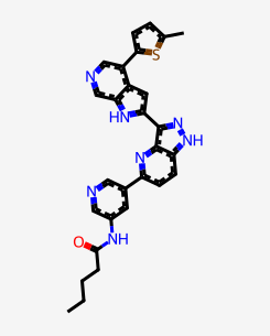 CCCCC(=O)Nc1cncc(-c2ccc3[nH]nc(-c4cc5c(-c6ccc(C)s6)cncc5[nH]4)c3n2)c1